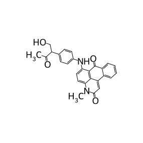 CC(=O)C(CO)c1ccc(Nc2ccc3c4c(cc(=O)n3C)-c3ccccc3C(=O)c24)cc1